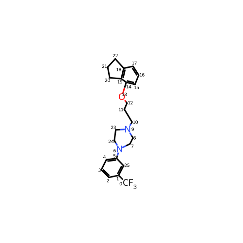 FC(F)(F)c1cccc(N2CCN(CCCOc3cccc4c3CCC4)CC2)c1